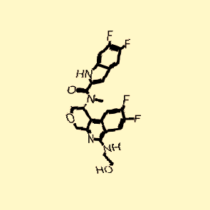 CN(C(=O)c1cc2cc(F)c(F)cc2[nH]1)[C@H]1COCc2nc(NCCO)c3cc(F)c(F)cc3c21